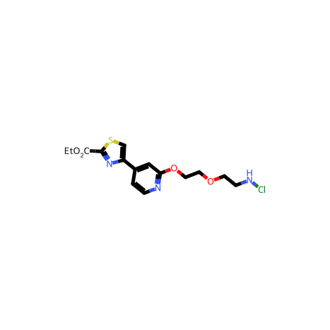 CCOC(=O)c1nc(-c2ccnc(OCCOCCNCl)c2)cs1